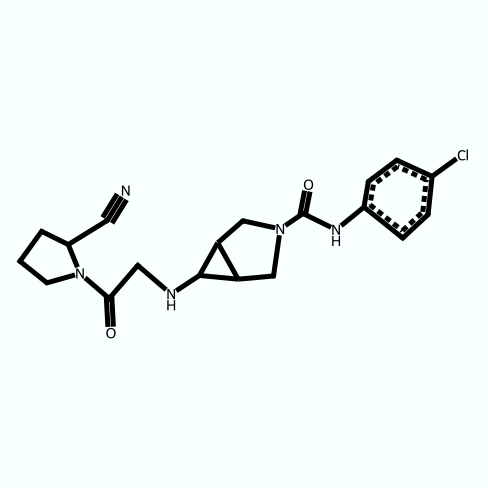 N#CC1CCCN1C(=O)CNC1C2CN(C(=O)Nc3ccc(Cl)cc3)CC21